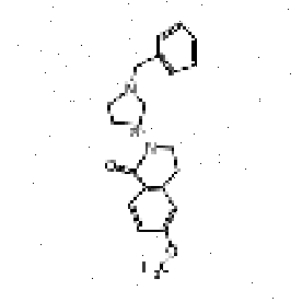 COc1ccc2c(c1)CCN([C@@H]1CCN(Cc3ccccc3)C1)C2=O